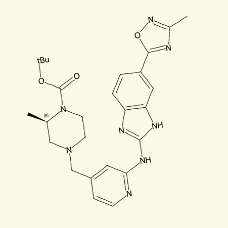 Cc1noc(-c2ccc3nc(Nc4cc(CN5CCN(C(=O)OC(C)(C)C)[C@H](C)C5)ccn4)[nH]c3c2)n1